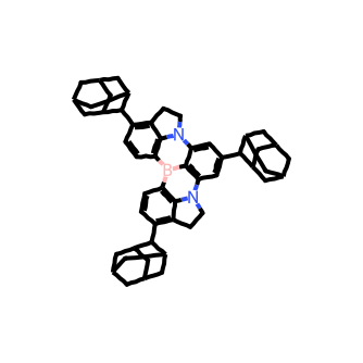 c1cc(C2C3CC4CC(C3)CC2C4)c2c3c1B1c4ccc(C5C6CC7CC(C6)CC5C7)c5c4N(CC5)c4cc(C5C6CC7CC(C6)CC5C7)cc(c41)N3CC2